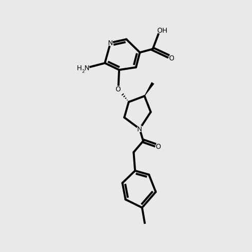 Cc1ccc(CC(=O)N2C[C@H](Oc3cc(C(=O)O)cnc3N)[C@@H](C)C2)cc1